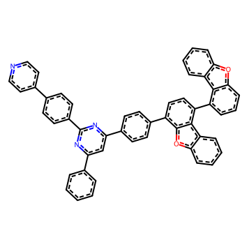 c1ccc(-c2cc(-c3ccc(-c4ccc(-c5cccc6oc7ccccc7c56)c5c4oc4ccccc45)cc3)nc(-c3ccc(-c4ccncc4)cc3)n2)cc1